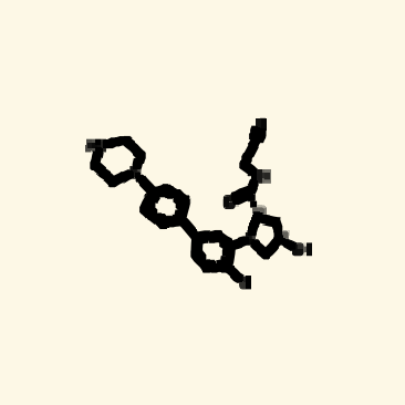 N#CCNC(=O)[C@@H]1C[C@@H](O)CN1c1cc(-c2ccc(N3CCNCC3)cc2)ccc1Cl